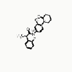 CC(C(=O)Nc1ccc(N2CCCCC2=O)c(Cl)c1)c1ccccc1F